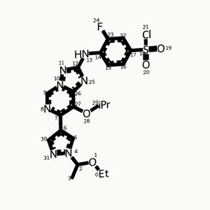 CCOC(C)n1cc(-c2ncn3nc(Nc4ccc(S(=O)(=O)Cl)cc4F)nc3c2OC(C)C)cn1